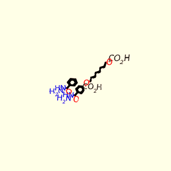 NNC(=O)c1ccccc1.NNC(=O)c1ccccc1.O=C(O)OCCCCCCCCOC(=O)O